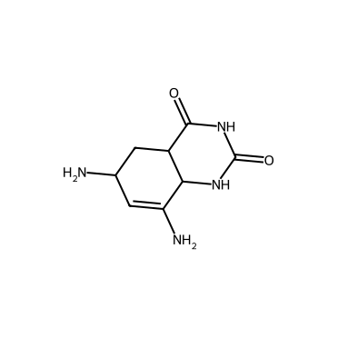 NC1=CC(N)CC2C(=O)NC(=O)NC12